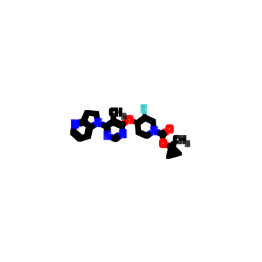 Cc1c(O[C@@H]2CCN(C(=O)OC3(C)CC3)C[C@@H]2F)ncnc1N1CCc2ncccc21